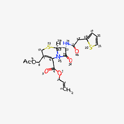 C=CCOC(=O)C1=C(COC(C)=O)CS[C@H]2[C@H](NC(=O)Cc3cccs3)C(=O)N12